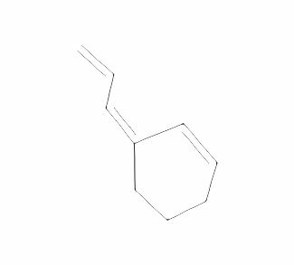 C=CC=C1C=CCCC1